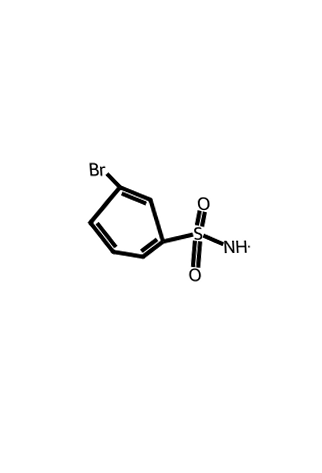 [NH]S(=O)(=O)c1cccc(Br)c1